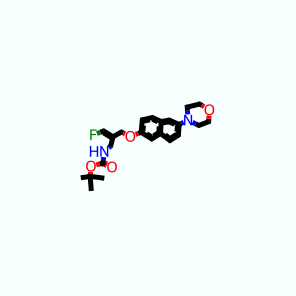 CC(C)(C)OC(=O)NC/C(=C\F)COc1ccc2cc(N3CCOCC3)ccc2c1